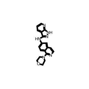 c1cnc2[nH]nc(Nc3ccc4c(N5CCOCC5)nccc4c3)c2c1